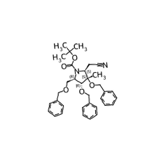 CC(C)(C)OC(=O)N1[C@H](COCc2ccccc2)[C@@H](OCc2ccccc2)[C@@](C)(OCc2ccccc2)[C@@H]1CC#N